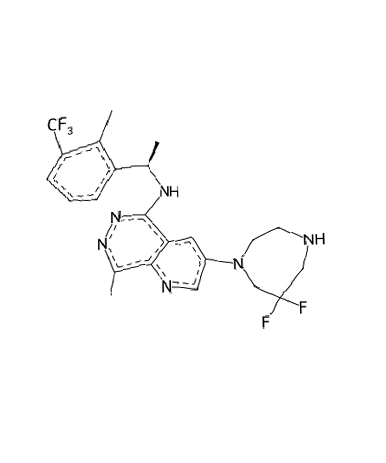 Cc1c([C@@H](C)Nc2nnc(C)c3ncc(N4CCNCC(F)(F)C4)cc23)cccc1C(F)(F)F